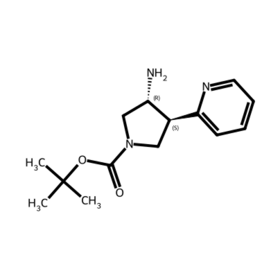 CC(C)(C)OC(=O)N1C[C@H](c2ccccn2)[C@@H](N)C1